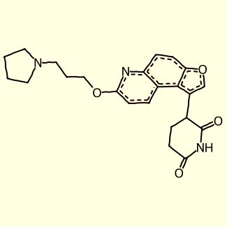 O=C1CCC(c2coc3ccc4nc(OCCCN5CCCC5)ccc4c23)C(=O)N1